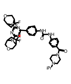 CC(C)N1CCN(C(=O)c2ccc(NC(=O)Nc3ccc(-c4nc(N5C6COCC5C(F)(F)C6)nc(N5C6COCC5C(F)(F)C6)n4)cc3)cc2)CC1